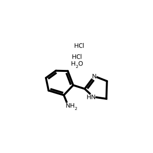 Cl.Cl.Nc1ccccc1C1=NCCN1.O